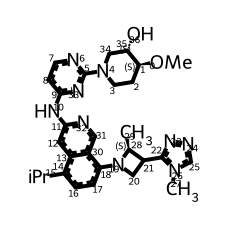 CO[C@H]1CCN(c2nccc(Nc3cc4c(C(C)C)ccc(N5CC(c6nncn6C)[C@@H]5C)c4cn3)n2)C[C@@H]1O